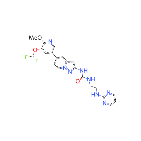 COc1ncc(-c2ccn3nc(NC(=O)NCCNc4ncccn4)cc3c2)cc1OC(F)F